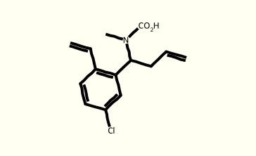 C=CCC(c1cc(Cl)ccc1C=C)N(C)C(=O)O